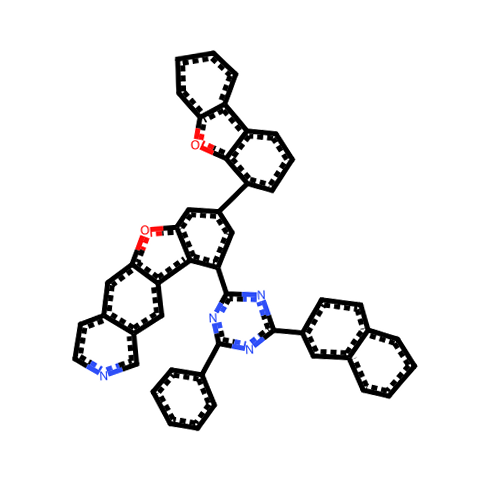 c1ccc(-c2nc(-c3ccc4ccccc4c3)nc(-c3cc(-c4cccc5c4oc4ccccc45)cc4oc5cc6ccncc6cc5c34)n2)cc1